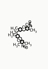 Cc1cc(C)c([SiH2]c2cc(Cc3cc(C)c(N=C=O)c(C)c3)c(C)cc2C)cc1Cc1cc(C)c(N=C=O)c(C)c1